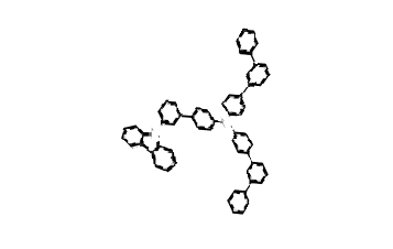 c1ccc(-c2cccc(-c3ccc(N(c4ccc(-c5cccc(-c6ccccc6)c5)cc4)c4ccc(-c5cccc(-n6c7ccccc7c7ccccc76)c5)cc4)cc3)c2)cc1